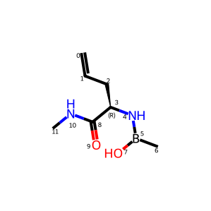 C=CC[C@@H](NB(C)O)C(=O)NC